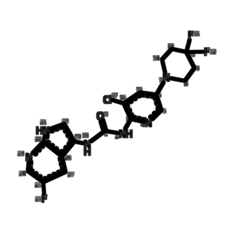 O=C(Nc1ncc(N2CCC(F)(F)CC2)cc1Cl)Nc1c[nH]c2ncc(F)cc12